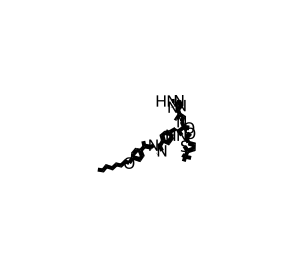 C=N/C(=N\C=C(/C)c1ccc(OCCCCCCC)cc1)c1ccc(C[C@H](NC(=O)c2ccc(C(C)(C)C)s2)C(=O)N2CC(c3nn[nH]n3)C2)cc1